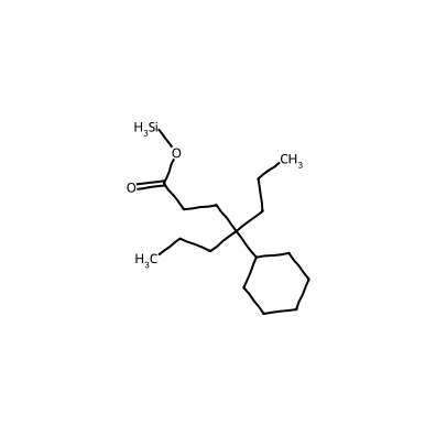 CCCC(CCC)(CCC(=O)O[SiH3])C1CCCCC1